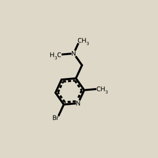 Cc1nc(Br)ccc1CN(C)C